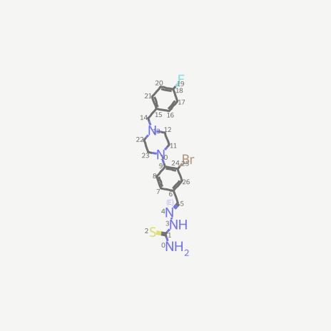 NC(=S)N/N=C/c1ccc(N2CCN(Cc3ccc(F)cc3)CC2)c(Br)c1